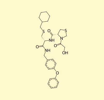 O=C(NCc1ccc(Oc2ccccc2)cc1)[C@H](CSCC1CCCCC1)NC(=O)[C@@H]1CSCN1C(=O)CO